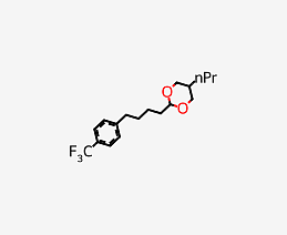 CCCC1COC(CCCCc2ccc(C(F)(F)F)cc2)OC1